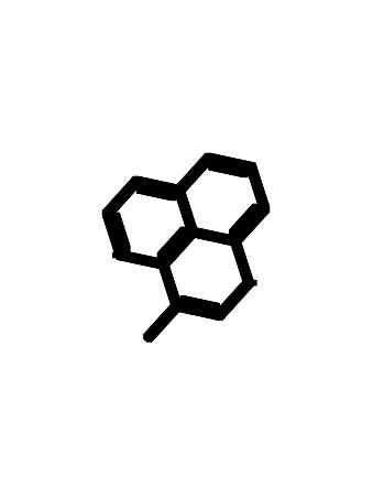 CC1=C[CH]c2cccc3cc[c]c1c23